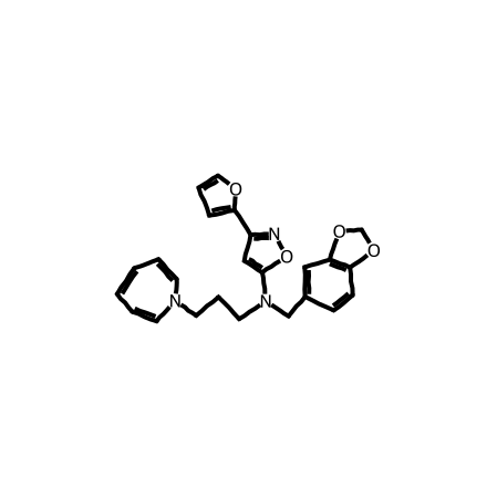 C1=CC=CN(CCCN(Cc2ccc3c(c2)OCO3)c2cc(-c3ccco3)no2)C=C1